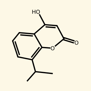 CC(C)c1cccc2c(O)cc(=O)oc12